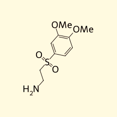 COc1ccc(S(=O)(=O)CCN)cc1OC